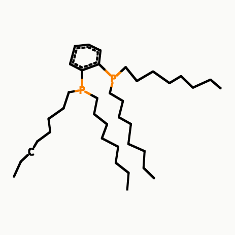 CCCCCCCCP(CCCCCCCC)c1ccccc1P(CCCCCCCC)CCCCCCCC